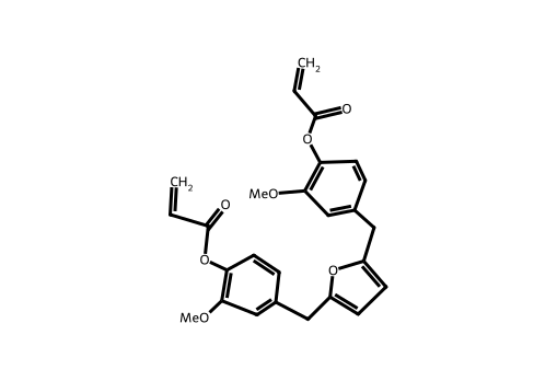 C=CC(=O)Oc1ccc(Cc2ccc(Cc3ccc(OC(=O)C=C)c(OC)c3)o2)cc1OC